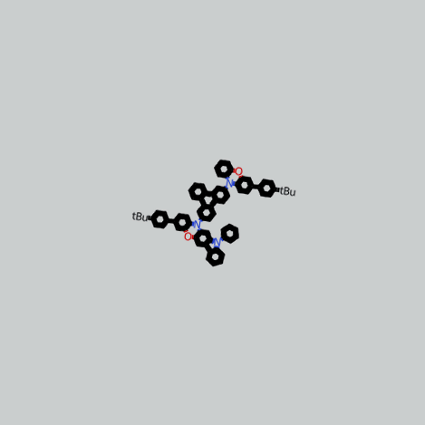 CC(C)(C)c1ccc(-c2ccc3c(c2)Oc2ccccc2N3c2ccc3c4ccc(N5c6ccc(-c7ccc(C(C)(C)C)cc7)cc6Oc6cc7c8ccccc8n(-c8ccccc8)c7cc65)cc4c4ccccc4c3c2)cc1